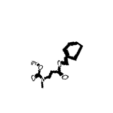 CC(C)OC(=O)N(C)CCC(=O)OCc1ccccc1